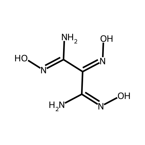 NC(=N\O)/C(=N\O)C(/N)=N\O